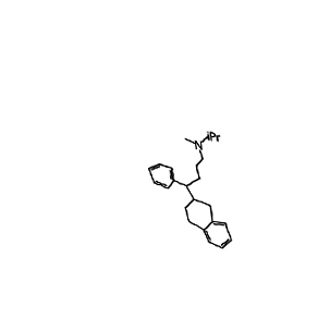 CC(C)N(C)CCCC(c1ccccc1)C1CCc2ccccc2C1